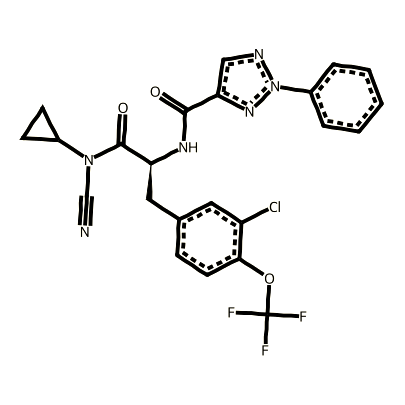 N#CN(C(=O)[C@H](Cc1ccc(OC(F)(F)F)c(Cl)c1)NC(=O)c1cnn(-c2ccccc2)n1)C1CC1